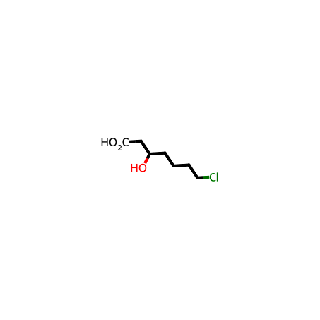 O=C(O)CC(O)CCCCCl